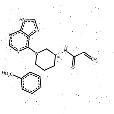 C=CC(=O)N[C@@H]1CCCN(c2ncnc3[nH]cnc23)C1.O=C(O)c1ccccc1